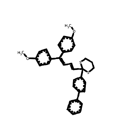 COc1ccc(C(=C/C=C/C2(c3ccc(-c4ccccc4)cc3)SCCCS2)c2ccc(OC)cc2)cc1